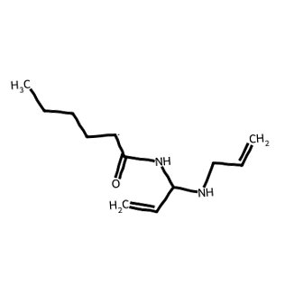 C=CCNC(C=C)NC(=O)[CH]CCCC